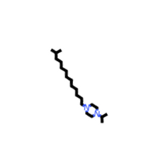 CC(C)CCCCCCCCCCCN1CCN(C(C)C)CC1